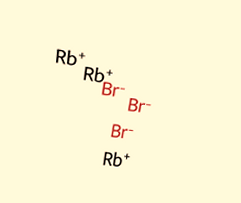 [Br-].[Br-].[Br-].[Rb+].[Rb+].[Rb+]